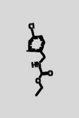 CCOC(=O)NCc1[c]cc(Cl)cc1